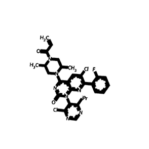 C=CC(=O)N1CC(C)N(c2nc(=O)n(-c3c(Cl)ncnc3C(C)C)c3nc(-c4ccccc4F)c(Cl)cc23)CC1C